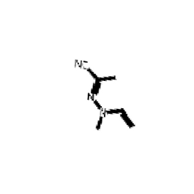 C=CN(C)/N=C(\C)C#N